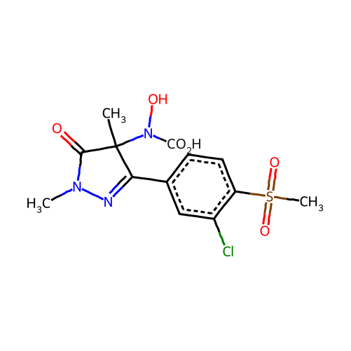 CN1N=C(c2ccc(S(C)(=O)=O)c(Cl)c2)C(C)(N(O)C(=O)O)C1=O